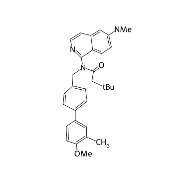 CNc1ccc2c(N(Cc3ccc(-c4ccc(OC)c(C)c4)cc3)C(=O)CC(C)(C)C)nccc2c1